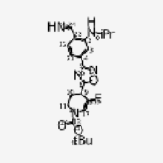 CC(C)Nc1cc(-c2noc(C3CCN(C(=O)OC(C)(C)C)C=C3F)n2)ccc1C=N